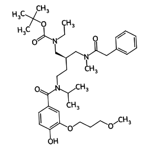 CCN(C[C@H](CCN(C(=O)c1ccc(O)c(OCCCOC)c1)C(C)C)CN(C)C(=O)Cc1ccccc1)C(=O)OC(C)(C)C